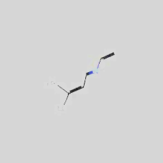 C=C/N=C/C=C(/CC)CCC